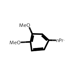 CC[CH]c1ccc(OC)c(OC)c1